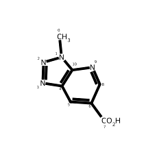 Cn1nnc2cc(C(=O)O)cnc21